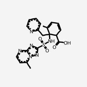 CC1=CC=CC(C(=O)O)C1(Cc1ccccn1)NS(=O)(=O)c1nc2nccc(C)n2n1